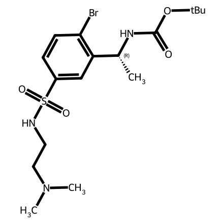 C[C@@H](NC(=O)OC(C)(C)C)c1cc(S(=O)(=O)NCCN(C)C)ccc1Br